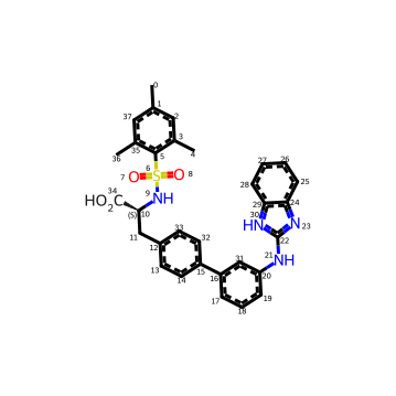 Cc1cc(C)c(S(=O)(=O)N[C@@H](Cc2ccc(-c3cccc(Nc4nc5ccccc5[nH]4)c3)cc2)C(=O)O)c(C)c1